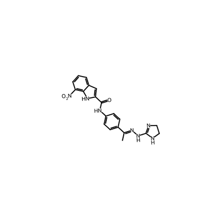 CC(=NNC1=NCCN1)c1ccc(NC(=O)c2cc3cccc([N+](=O)[O-])c3[nH]2)cc1